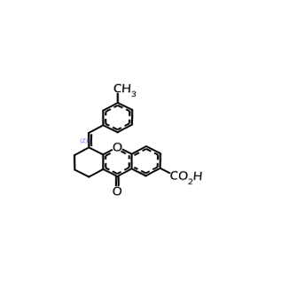 Cc1cccc(/C=C2/CCCc3c2oc2ccc(C(=O)O)cc2c3=O)c1